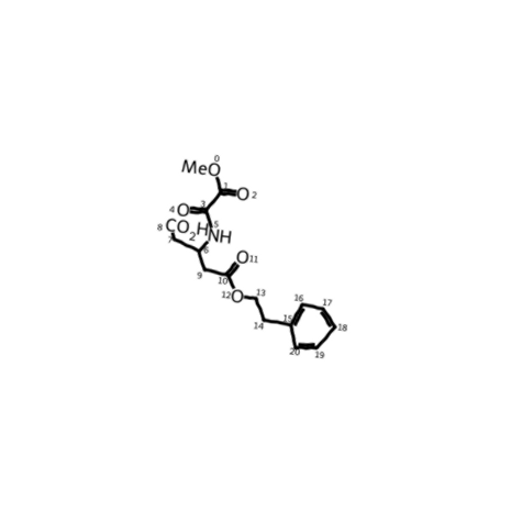 COC(=O)C(=O)NC(CC(=O)O)CC(=O)OCCc1ccccc1